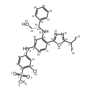 CS(=O)(=O)c1ccc(Nc2ncc(-c3nnc(C(F)F)o3)c(N[C@H](CO)c3ccccc3)n2)cc1Cl